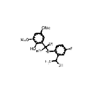 CCCC(CC)(Pc1ccc(F)cc1C(C)S)c1cc(OC)cc(OC)c1O